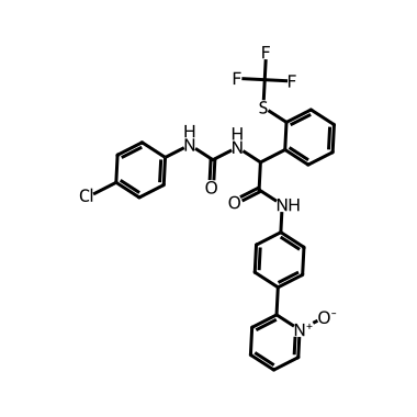 O=C(Nc1ccc(Cl)cc1)NC(C(=O)Nc1ccc(-c2cccc[n+]2[O-])cc1)c1ccccc1SC(F)(F)F